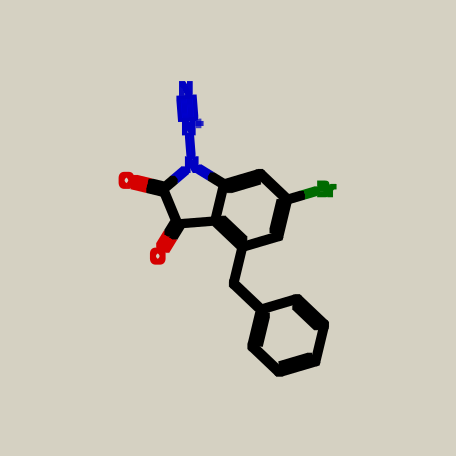 N#[N+]N1C(=O)C(=O)c2c(Cc3ccccc3)cc(Br)cc21